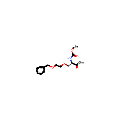 COC(=O)[C@H](COCCOCc1ccccc1)NC(=O)OC(C)(C)C